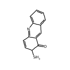 O=C1c2cc3ccccc3nc2C=CC1[SiH3]